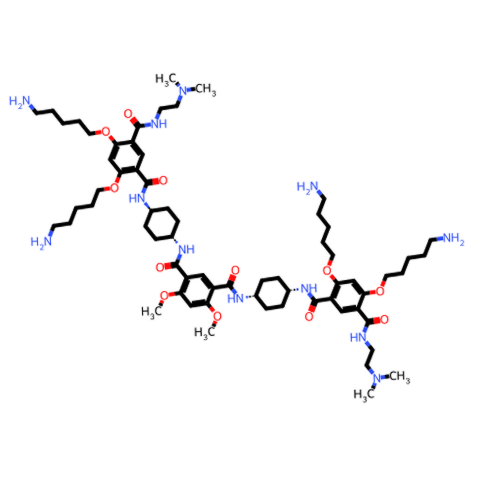 COc1cc(OC)c(C(=O)N[C@H]2CC[C@H](NC(=O)c3cc(C(=O)NCCN(C)C)c(OCCCCCN)cc3OCCCCCN)CC2)cc1C(=O)N[C@H]1CC[C@@H](NC(=O)c2cc(C(=O)NCCN(C)C)c(OCCCCCN)cc2OCCCCCN)CC1